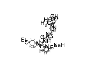 CCO[C@H]1CC[C@H](n2cc(NC(=O)c3csc(-c4cnn(C(C)OP(=O)(O)O)c4)n3)c(-c3nc(F)ccc3F)n2)CC1.[NaH]